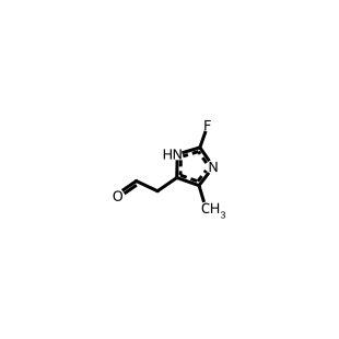 Cc1nc(F)[nH]c1CC=O